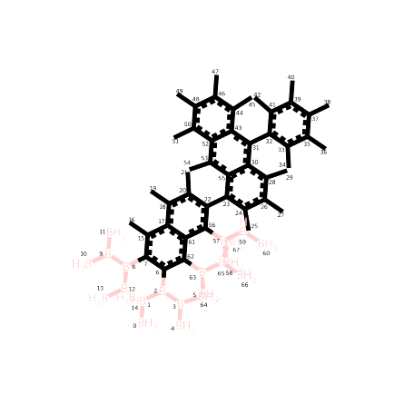 BBB(B(B)B)c1c(B(B(B)B)B(B)B)c(C)c2c(C)c(C)c(-c3c(C)c(C)c(C)c4c(-c5c(C)c(C)c(C)c(C)c5C)c5c(C)c(C)c(C)c(C)c5c(C)c34)c(B(B)BB)c2c1B(B)B(B)B